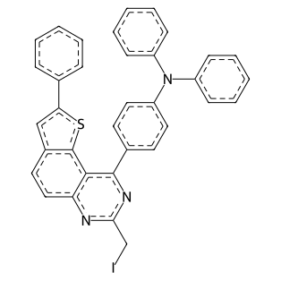 ICc1nc(-c2ccc(N(c3ccccc3)c3ccccc3)cc2)c2c(ccc3cc(-c4ccccc4)sc32)n1